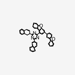 C1=CC(c2nc(-c3ccc4ccccc4c3)nc(-c3cc(-c4ccc5oc6ccccc6c5c4)cc4oc5ccccc5c34)n2)Cc2ccccc21